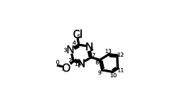 COc1nc(Cl)nc(-c2ccccc2)n1